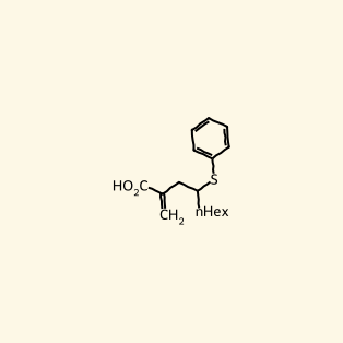 C=C(CC(CCCCCC)Sc1ccccc1)C(=O)O